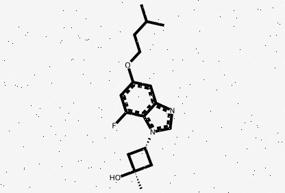 CC(C)CCOc1cc(F)c2c(c1)ncn2[C@H]1C[C@](C)(O)C1